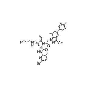 C=C[C@@H]1[C@@H](CNCCCF)C[C@@H](C(=O)Nc2nc(Br)ccc2C)N1C(=O)Cn1nc(C(C)=O)c2cc(-c3cnc(C)nc3)cc(C)c21